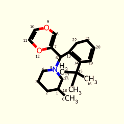 CC1CCCN(C(C2=COC=CO2)C2=C(C(C)(C)C)C=CCC2)C1